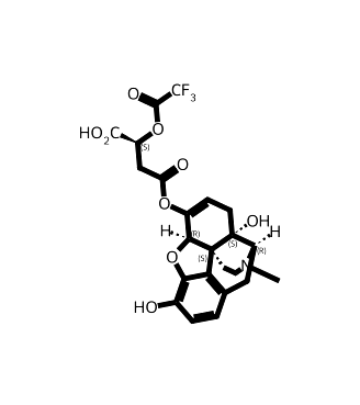 CN1CC[C@]23c4c5ccc(O)c4O[C@H]2C(OC(=O)C[C@H](OC(=O)C(F)(F)F)C(=O)O)=CC[C@@]3(O)[C@H]1C5